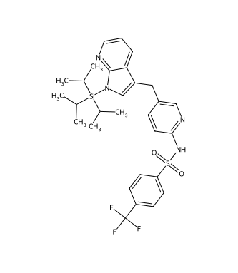 CC(C)[Si](C(C)C)(C(C)C)n1cc(Cc2ccc(NS(=O)(=O)c3ccc(C(F)(F)F)cc3)nc2)c2cccnc21